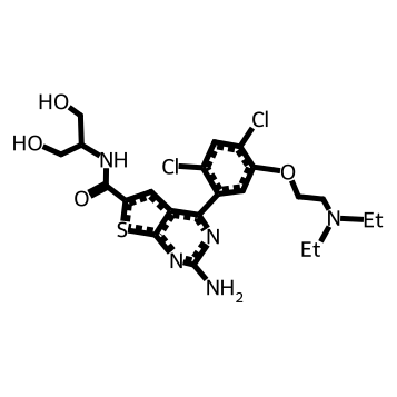 CCN(CC)CCOc1cc(-c2nc(N)nc3sc(C(=O)NC(CO)CO)cc23)c(Cl)cc1Cl